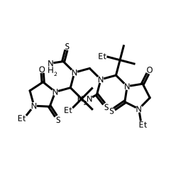 CCN1CC(=O)N(C(N(CN(C(N)=S)C(N2C(=O)CN(CC)C2=S)C(C)(C)CC)C(N)=S)C(C)(C)CC)C1=S